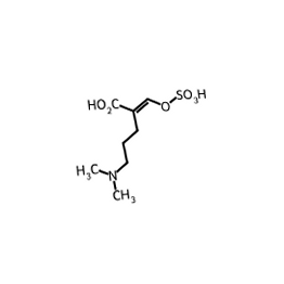 CN(C)CCCC(=COS(=O)(=O)O)C(=O)O